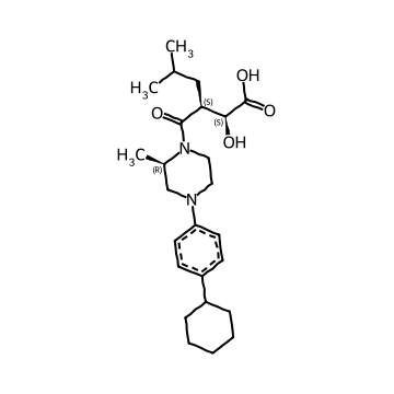 CC(C)C[C@H](C(=O)N1CCN(c2ccc(C3CCCCC3)cc2)C[C@H]1C)[C@H](O)C(=O)O